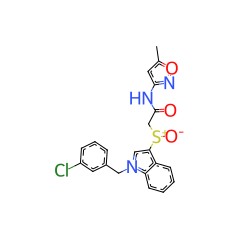 Cc1cc(NC(=O)C[S+]([O-])c2cn(Cc3cccc(Cl)c3)c3ccccc23)no1